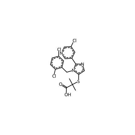 CC(C)(Sc1cnc(-c2cncc(Cl)c2)n1Cc1cc(Cl)ccc1Cl)C(=O)O